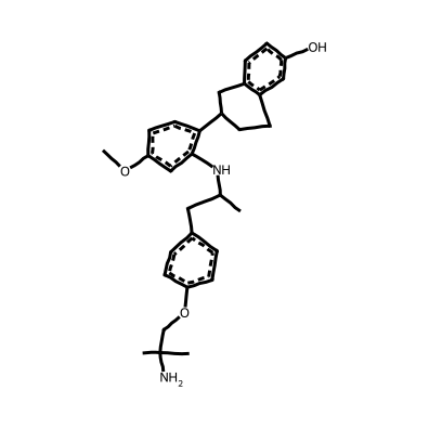 COc1ccc(C2CCc3cc(O)ccc3C2)c(NC(C)Cc2ccc(OCC(C)(C)N)cc2)c1